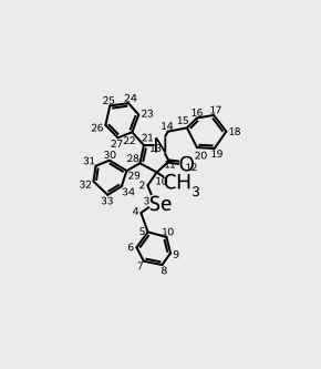 CC1(C[Se]Cc2ccccc2)C(=O)N(Cc2ccccc2)C(c2ccccc2)=C1c1ccccc1